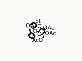 CCc1ccn(Cc2ccccc2O[C@@H]2O[C@H](COC(C)=O)C(OC(C)=O)[C@H](OC(C)=O)C2OC(C)=O)c(=O)c1